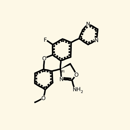 COc1ccc2c(c1)[C@]1(COC(N)=N1)c1cc(-c3cncnc3)cc(F)c1O2